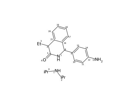 CC(C)NC(C)C.CCC1C(=O)NC(c2ccc(N)cc2)c2ccccc21